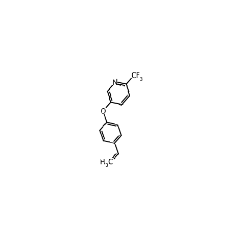 C=Cc1ccc(Oc2ccc(C(F)(F)F)nc2)cc1